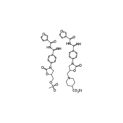 CCOC(=O)C1CCN(CC2CN(c3ccc(C(=N)NC(=O)c4ccoc4)cc3)C(=O)O2)CC1.CS(=O)(=O)OCC1CN(c2ccc(C(=N)NC(=O)c3ccoc3)cc2)C(=O)O1